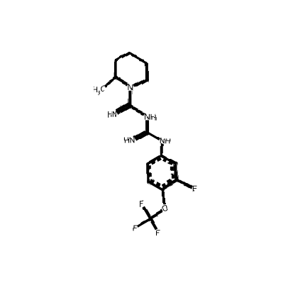 CC1CCCCN1C(=N)NC(=N)Nc1ccc(OC(F)(F)F)c(F)c1